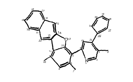 Cc1cnc(-c2c(C)cc(C)c3c2oc2cc4ccccc4cc23)cc1-c1ccccc1